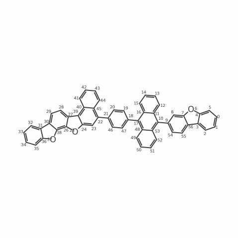 c1ccc2c(c1)oc1cc(-c3c4ccccc4c(-c4ccc(-c5cc6oc7c(ccc8c9ccccc9oc87)c6c6ccccc56)cc4)c4ccccc34)ccc12